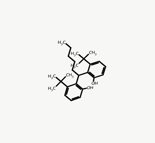 CCCCCC(c1c(O)cccc1C(C)(C)C)c1c(O)cccc1C(C)(C)C